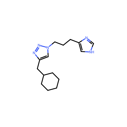 c1nc(CCCn2cc(CC3CCCCC3)nn2)c[nH]1